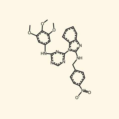 COc1cc(Nc2ncnc(-n3c(NCc4ccc([N+](=O)[O-])cc4)nc4ccccc43)n2)cc(OC)c1OC